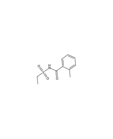 CCS(=O)(=O)NC(=O)c1ccccc1C